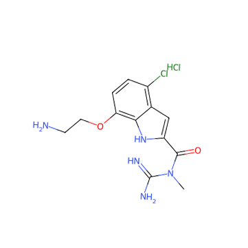 CN(C(=N)N)C(=O)c1cc2c(Cl)ccc(OCCN)c2[nH]1.Cl